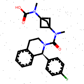 CN(C(=O)O)C12CC(N(C)C(=O)N3CCc4ccccc4[C@@H]3c3ccc(F)cc3)(C1)C2